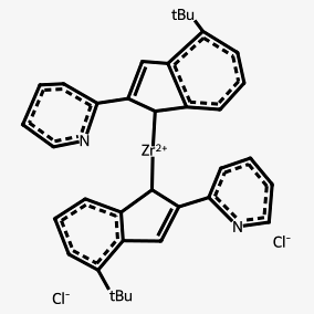 CC(C)(C)c1cccc2c1C=C(c1ccccn1)[CH]2[Zr+2][CH]1C(c2ccccn2)=Cc2c1cccc2C(C)(C)C.[Cl-].[Cl-]